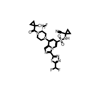 CC1(C(=O)N2CCN(c3cc(S(=O)(=O)NC4(C#N)CC4)cn4c(-c5nnc(C(F)F)s5)ncc34)C[C@H]2CF)CC1